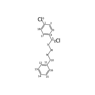 Clc1ccc(C(Cl)CCCCc2ccccc2)cc1